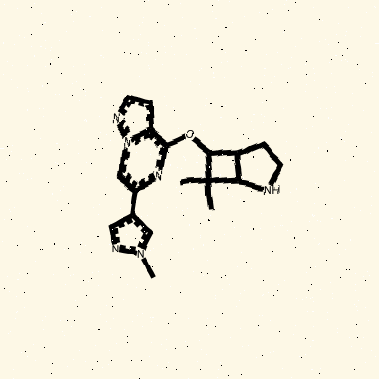 Cn1cc(-c2cn3nccc3c(OC3C4CCNC4C3(C)C)n2)cn1